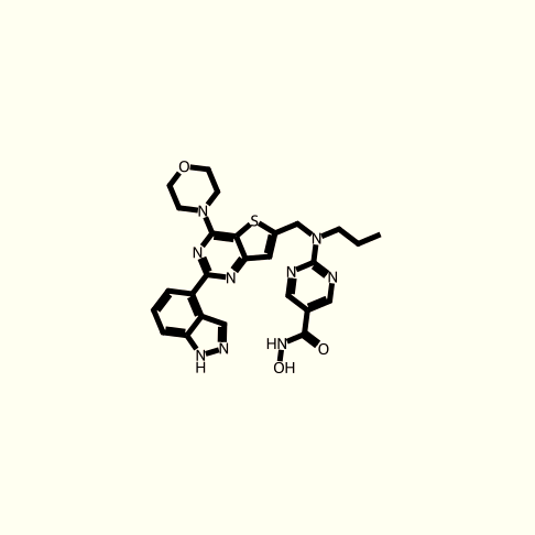 CCCN(Cc1cc2nc(-c3cccc4[nH]ncc34)nc(N3CCOCC3)c2s1)c1ncc(C(=O)NO)cn1